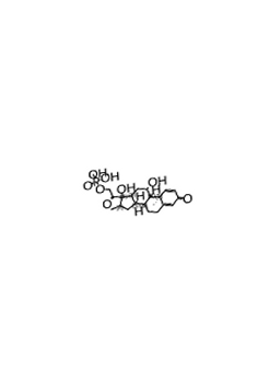 C[C@@H]1C[C@H]2[C@@H]3CCC4=CC(=O)C=C[C@]4(C)[C@H]3C(O)C[C@]2(C)[C@@]1(O)C(=O)COP(=O)(O)O